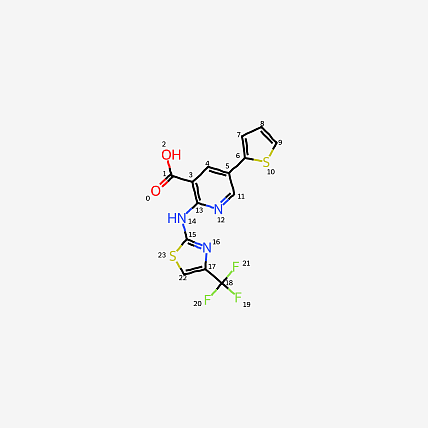 O=C(O)c1cc(-c2cccs2)cnc1Nc1nc(C(F)(F)F)cs1